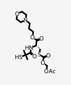 CC(=O)OCOC(=O)SC[C@H](NC(=O)C(C)(C)S)C(=O)OCCCN1CCOCC1